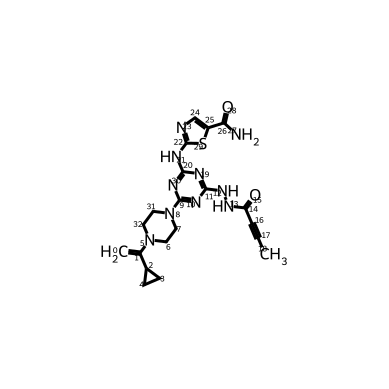 C=C(C1CC1)N1CCN(c2nc(NNC(=O)C#CC)nc(Nc3ncc(C(N)=O)s3)n2)CC1